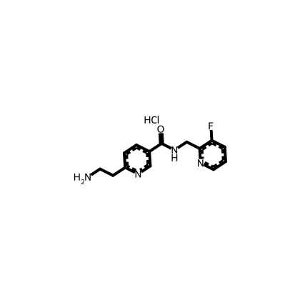 Cl.NCCc1ccc(C(=O)NCc2ncccc2F)cn1